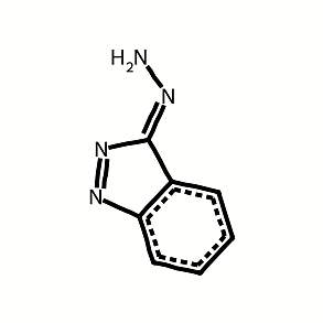 NN=C1N=Nc2ccccc21